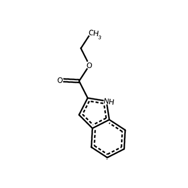 CCOC(=O)c1cc2c[c]ccc2[nH]1